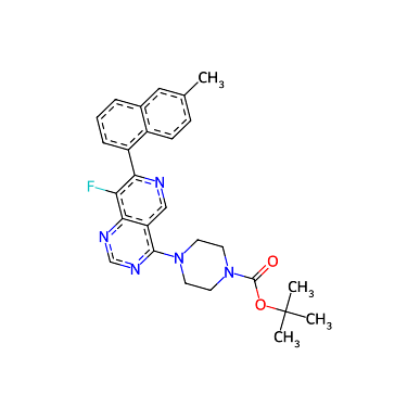 Cc1ccc2c(-c3ncc4c(N5CCN(C(=O)OC(C)(C)C)CC5)ncnc4c3F)cccc2c1